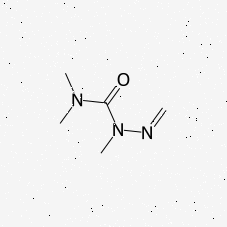 C=NN(C)C(=O)N(C)C